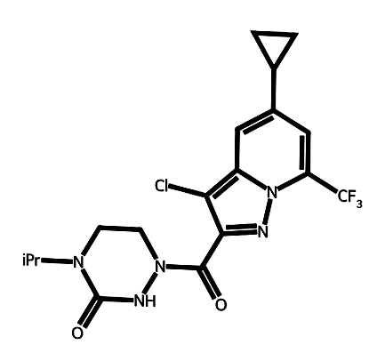 CC(C)N1CCN(C(=O)c2nn3c(C(F)(F)F)cc(C4CC4)cc3c2Cl)NC1=O